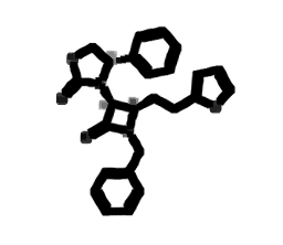 O=C1[C@@H](N2C(=O)OC[C@@H]2c2ccccc2)[C@@H](CCc2ccco2)N1Cc1ccccc1